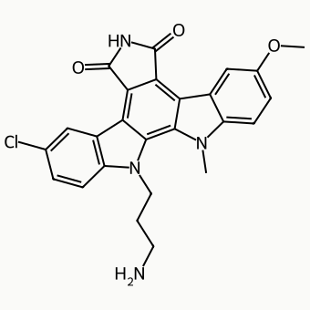 COc1ccc2c(c1)c1c3c(c4c5cc(Cl)ccc5n(CCCN)c4c1n2C)C(=O)NC3=O